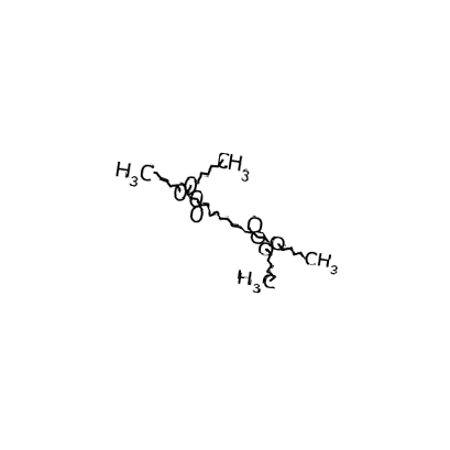 CCCCCCOC(COC(=O)CCCCCCCCC(=O)OCC(OCCCCCC)OCCCCCC)OCCCCCC